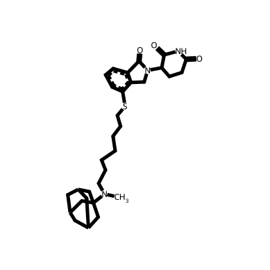 CN(CCCCCCCSc1cccc2c1CN(C1CCC(=O)NC1=O)C2=O)C12CC3CC(CC(C3)C1)C2